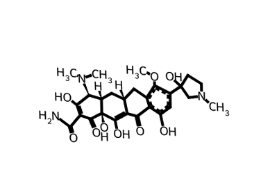 COc1c(C2(O)CCN(C)C2)cc(O)c2c1C[C@H]1C[C@H]3[C@H](N(C)C)C(O)=C(C(N)=O)C(=O)[C@@]3(O)C(O)=C1C2=O